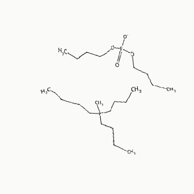 CCCCOP(=O)([O-])OCCCC.CCCC[P+](C)(CCCC)CCCC